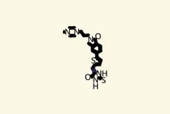 CN1CCN(CCCN2Cc3cc(-c4ccc(/C=C5\NC(=S)NC5=O)s4)ccc3C2=O)CC1